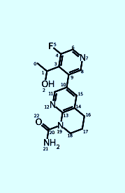 CC(O)c1c(F)cncc1-c1cnc2c(c1)CCCN2C(N)=O